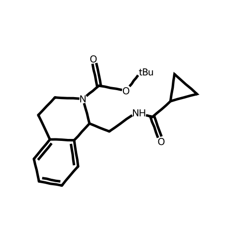 CC(C)(C)OC(=O)N1CCc2ccccc2C1CNC(=O)C1CC1